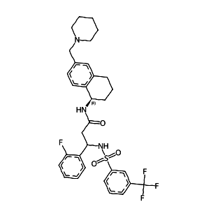 O=C(CC(NS(=O)(=O)c1cccc(C(F)(F)F)c1)c1ccccc1F)N[C@@H]1CCCc2cc(CN3CCCCC3)ccc21